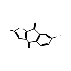 COc1ccc2c(c1)C(=O)c1oc(C(C)=O)cc1C2=O